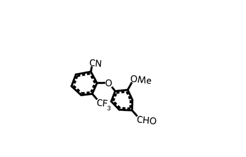 COc1cc(C=O)ccc1Oc1c(C#N)cccc1C(F)(F)F